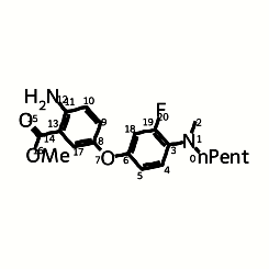 CCCCCN(C)c1ccc(Oc2ccc(N)c(C(=O)OC)c2)cc1F